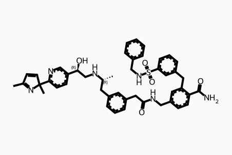 CC1=NC(C)(c2ccc([C@@H](O)CN[C@H](C)Cc3cccc(CC(=O)NCc4ccc(C(N)=O)c(Cc5cccc(S(=O)(=O)NCc6ccccc6)c5)c4)c3)cn2)C=C1